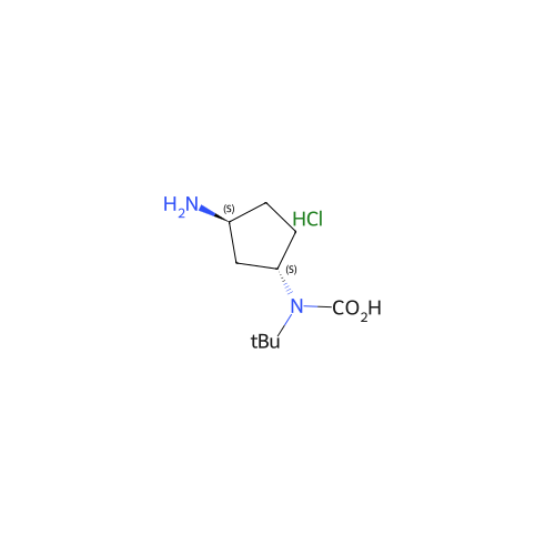 CC(C)(C)N(C(=O)O)[C@H]1CC[C@H](N)C1.Cl